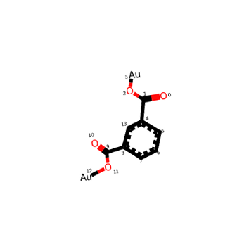 O=C([O][Au])c1cccc(C(=O)[O][Au])c1